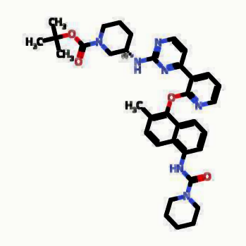 Cc1ccc2c(NC(=O)N3CCCCC3)cccc2c1Oc1ncccc1-c1ccnc(N[C@H]2CCCN(C(=O)OC(C)(C)C)C2)n1